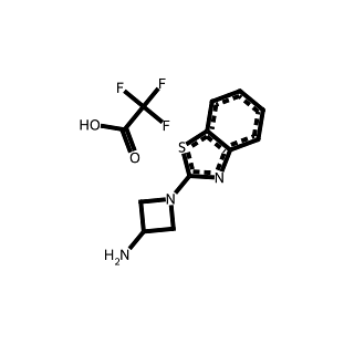 NC1CN(c2nc3ccccc3s2)C1.O=C(O)C(F)(F)F